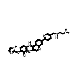 CN(C)CCNCc1ccc(-c2ccc3c(Nc4ccc(Sc5nccn5C)c(Cl)c4)c(C#N)cnc3c2)nc1